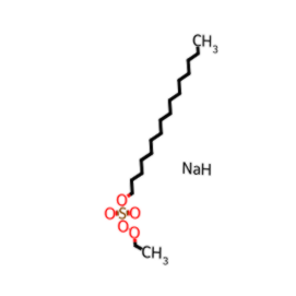 CCCCCCCCCCCCCCCCOS(=O)(=O)OOCC.[NaH]